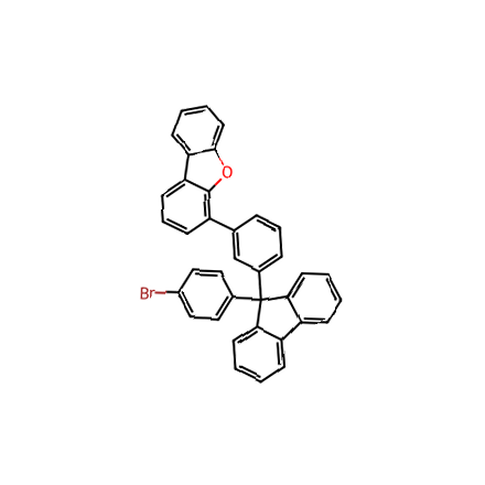 Brc1ccc(C2(c3cccc(-c4cccc5c4oc4ccccc45)c3)c3ccccc3-c3ccccc32)cc1